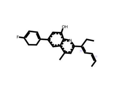 C/C=C\C=C(/CC)c1cc(C)c2cc(C3=CC=C(F)CC3)cc(O)c2n1